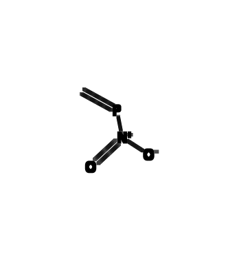 C=P[N+](=O)[O-]